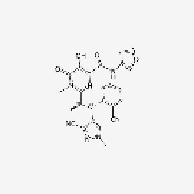 C[C@@H](c1nc(C(=O)Nc2cnoc2)c(O)c(=O)n1C)[C@H](c1ccccc1C#N)c1cn(C)nc1C#N